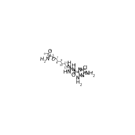 CC(=O)[C@@H](N)COCCCCCCNC(=N)NC(=O)c1nc(Cl)c(N)nc1N